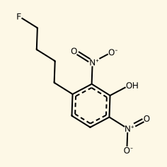 O=[N+]([O-])c1ccc(CCCCF)c([N+](=O)[O-])c1O